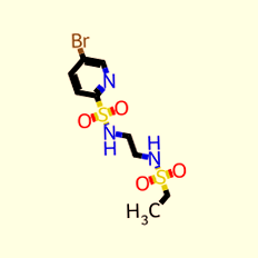 CCS(=O)(=O)NCCNS(=O)(=O)c1ccc(Br)cn1